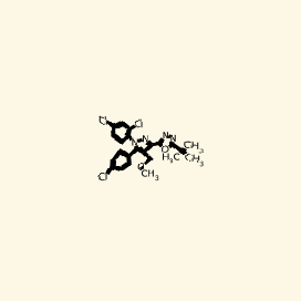 COCc1c(-c2nnc(C(C)(C)C)o2)nn(-c2ccc(Cl)cc2Cl)c1-c1ccc(Cl)cc1